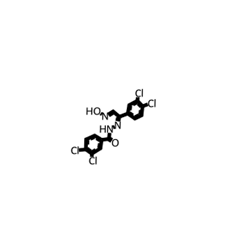 O=C(NN=C(C=NO)c1ccc(Cl)c(Cl)c1)c1ccc(Cl)c(Cl)c1